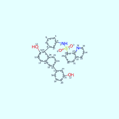 O=S(=O)(Nc1cccc(-c2c(O)ccc3cc(-c4cccc(O)c4)ccc23)c1)c1cccc2cccnc12